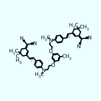 Cc1cc(OCCN(C)c2ccc(/C=C/C3=CC(=C(C#N)C#N)CC(C)(C)C3)cc2)cc(OCCN(C)c2ccc(/C=C/C3=CC(=C(C#N)C#N)CC(C)(C)C3)cc2)c1